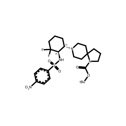 CC(C)(C)OC(=O)N1CCCC12CCN([C@H]1CCCC(F)(F)[C@@H]1NS(=O)(=O)c1ccc([N+](=O)[O-])cc1)CC2